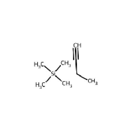 C#CCC.C[Si](C)(C)C